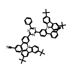 CC(C)(C)c1ccc2c(c1)c1cc(C(C)(C)C)ccc1n2-c1cc(-c2nc(-c3ccccc3)nc(-c3ccc(-c4cccc(C#N)c4)c(-n4c5ccc(C(C)(C)C)cc5c5cc(C(C)(C)C)ccc54)c3)n2)ccc1-c1cccc(C#N)c1